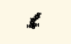 COc1ccc(Cn2ccc3ccc(P(=O)(O)O)cc32)cc1